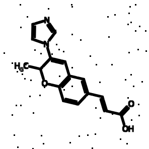 CC1Oc2ccc(/C=C/C(=O)O)cc2C=C1n1ccnc1